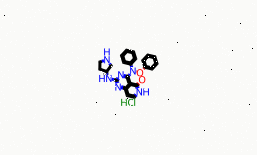 Cl.O=c1[nH]ccc2nc(N[C@H]3CCNC3)nc(N(Oc3ccccc3)c3ccccc3)c12